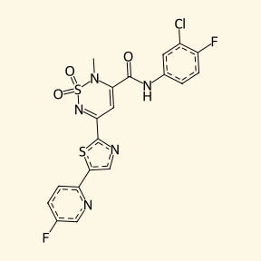 CN1C(C(=O)Nc2ccc(F)c(Cl)c2)=CC(c2ncc(-c3ccc(F)cn3)s2)=NS1(=O)=O